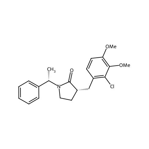 COc1ccc(C[C@@H]2CCN([C@@H](C)c3ccccc3)C2=O)c(Cl)c1OC